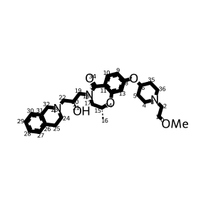 COCCN1CCC(Oc2ccc3c(c2)O[C@H](C)CN(C[C@H](O)CN2CCc4ccccc4C2)C3=O)CC1